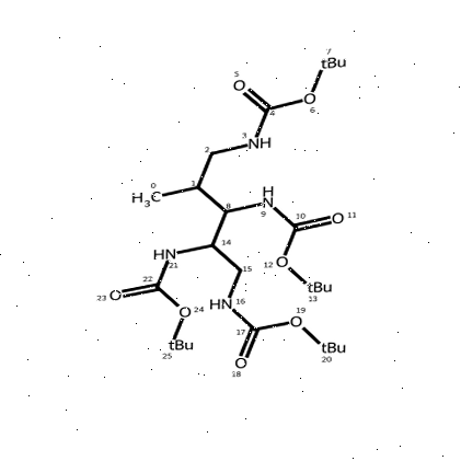 CC(CNC(=O)OC(C)(C)C)C(NC(=O)OC(C)(C)C)C(CNC(=O)OC(C)(C)C)NC(=O)OC(C)(C)C